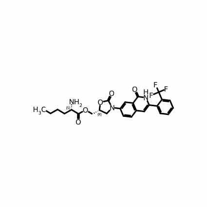 CCCC[C@H](N)C(=O)OC[C@H]1CN(c2ccc3cc(-c4ccccc4C(F)(F)F)[nH]c(=O)c3c2)C(=O)O1